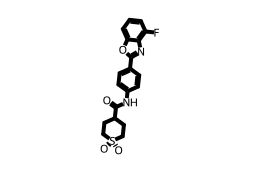 O=C(Nc1ccc(-c2nc3c(F)cccc3o2)cc1)C1CCS(=O)(=O)CC1